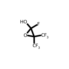 OC1(F)OC1(C(F)(F)F)C(F)(F)F